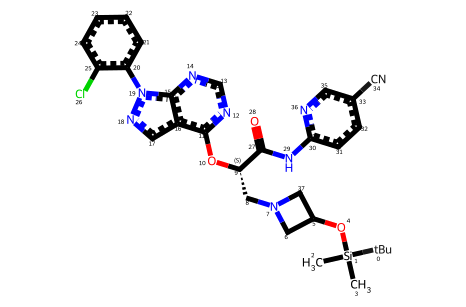 CC(C)(C)[Si](C)(C)OC1CN(C[C@H](Oc2ncnc3c2cnn3-c2ccccc2Cl)C(=O)Nc2ccc(C#N)cn2)C1